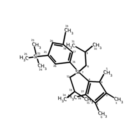 CC1=C(C)C(C)C([Si](CC(C)C)(CC(C)C)c2cc(C)cc([Si](C)(C)C)c2)=C1C